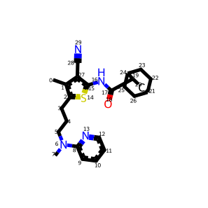 Cc1c(CCCN(C)c2ccccn2)sc(NC(=O)C2CC3CCC2CC3)c1C#N